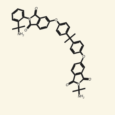 CC(C)(N)c1ccccc1N1C(=O)c2ccc(Oc3ccc(C(C)(C)c4ccc(Oc5ccc6c(c5)C(=O)N(C(C)(C)N)C6=O)cc4)cc3)cc2C1=O